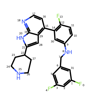 Fc1cc(F)cc(CNc2ccc(F)c(-c3ccnc4[nH]c(C5CCNCC5)cc34)c2)c1